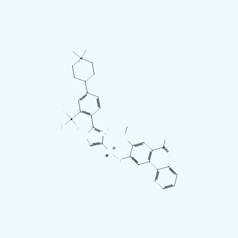 COc1cc(C(=O)O)c(-c2ccccc2)cc1NS(=O)(=O)c1csc(-c2ccc(C3CCC(C)(C)CC3)cc2C(F)(F)F)n1